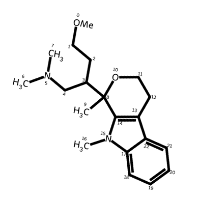 COCCC(CN(C)C)C1(C)OCCc2c1n(C)c1ccccc21